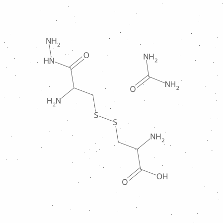 NC(N)=O.NNC(=O)C(N)CSSCC(N)C(=O)O